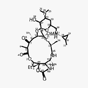 CC[C@H]1OC(=O)C(C)C(=O)[C@H](C)[C@@H](OC2OC(CN[C@@H]3CC3C)CC(N(C)C)C2O)[C@](C)(OC)C[C@@H](C)CN[C@H](C)[C@H]2NC(=O)O[C@@]21C